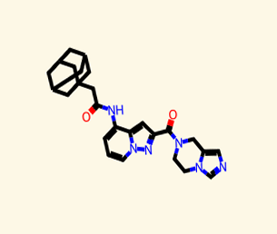 O=C(CC12CC3CC(CC(C3)C1)C2)Nc1cccn2nc(C(=O)N3CCn4cncc4C3)cc12